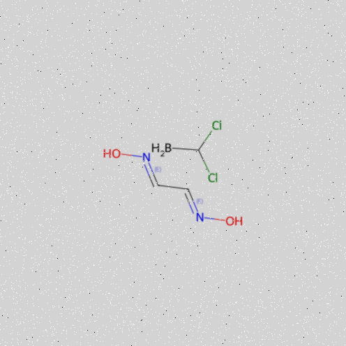 BC(Cl)Cl.O/N=C/C=N/O